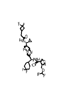 O=C(CC1CC(F)(F)C1)N[C@@H](c1cnn2cc([C@@H](NC(=O)c3conc3COC(F)F)C3CCC(F)(F)CC3)nc2c1)C1CC1